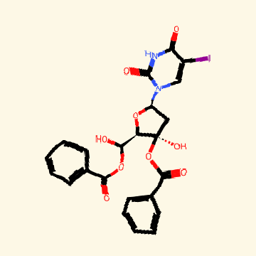 O=C(OC(O)[C@H]1O[C@@H](n2cc(I)c(=O)[nH]c2=O)C[C@@]1(O)OC(=O)c1ccccc1)c1ccccc1